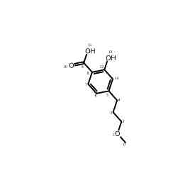 COCCCc1ccc(C(=O)O)c(O)c1